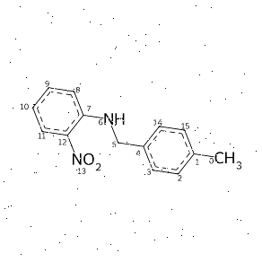 Cc1ccc(CNc2ccccc2[N+](=O)[O-])cc1